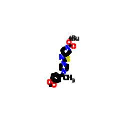 CC(c1ccc2c(c1)OCO2)N1CCN(c2nc3c(s2)CN(C(=O)OC(C)(C)C)CC3)CC1